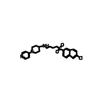 O=S(=O)(CCCCNC1CCN(c2ccncc2)CC1)c1ccc2cc(Cl)ccc2c1